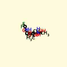 CCC1C[C@@H](S(=O)(=O)c2cc(C(=O)Nc3ccc(F)c(F)c3)ccc2Cl)C[C@H](C)[C@@]1(O)CC(=O)NC[C@H](C)O